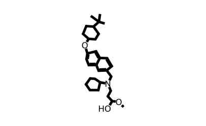 COC(O)CCN(Cc1ccc2cc(OC3CCC(C(C)(C)C)CC3)ccc2c1)C1CCCCC1